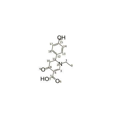 CCN1C=C(C(=O)O)C(=O)CC1c1ccc(O)cc1